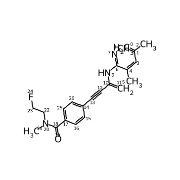 C=C(C)/C=C(C)\C(=N/C)NC(=C)C#Cc1ccc(C(=O)N(C)CCF)cc1